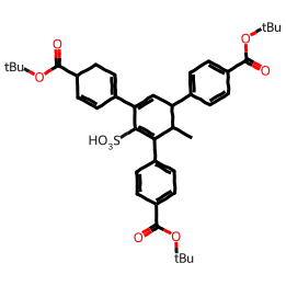 CC1C(c2ccc(C(=O)OC(C)(C)C)cc2)=C(S(=O)(=O)O)C(C2=CCC(C(=O)OC(C)(C)C)C=C2)=CC1c1ccc(C(=O)OC(C)(C)C)cc1